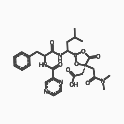 CC(C)CC(NC(=O)C(Cc1ccccc1)NC(=O)c1cnccn1)B1OC(=O)[C@@](CC(=O)O)(CC(=O)N(C)C)O1